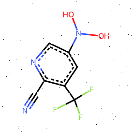 N#Cc1ncc(N(O)O)cc1C(F)(F)F